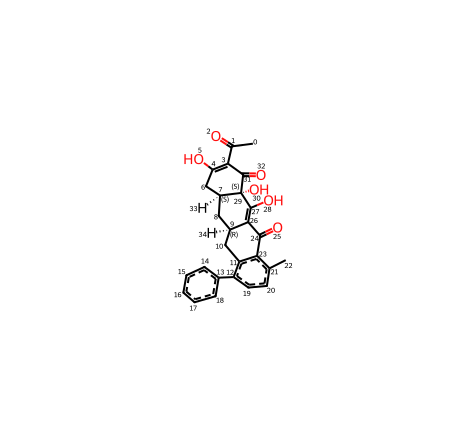 CC(=O)C1=C(O)C[C@@H]2C[C@@H]3Cc4c(-c5ccccc5)ccc(C)c4C(=O)C3=C(O)[C@]2(O)C1=O